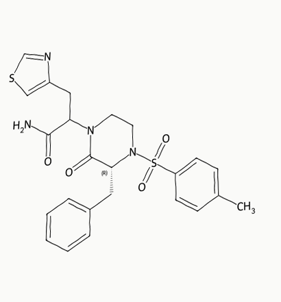 Cc1ccc(S(=O)(=O)N2CCN(C(Cc3cscn3)C(N)=O)C(=O)[C@H]2Cc2ccccc2)cc1